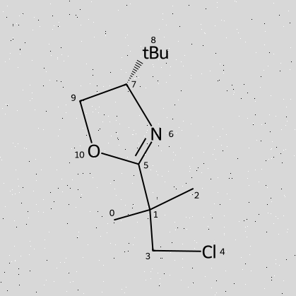 CC(C)(CCl)C1=N[C@@H](C(C)(C)C)CO1